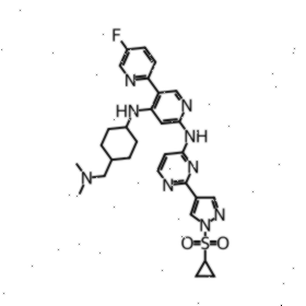 CN(C)CC1CCC(Nc2cc(Nc3ccnc(-c4cnn(S(=O)(=O)C5CC5)c4)n3)ncc2-c2ccc(F)cn2)CC1